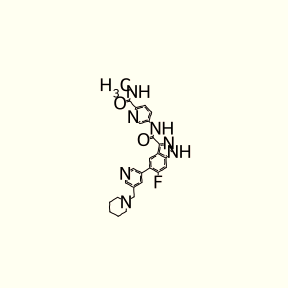 CNC(=O)c1ccc(NC(=O)c2n[nH]c3cc(F)c(-c4cncc(CN5CCCCC5)c4)cc23)cn1